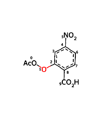 CC(=O)OOc1cc([N+](=O)[O-])ccc1C(=O)O